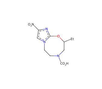 CCC1CN(C(=O)O)CCn2cc([N+](=O)[O-])nc2O1